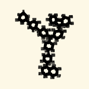 c1ccc(-c2ccc(-c3ccc(N(c4ccc(-c5ccc(-c6cccc7ccccc67)cc5)cc4)c4cccc(-n5c6ccccc6c6ccccc65)c4)cc3)cc2)cc1